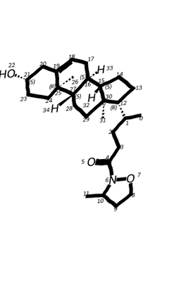 CC(CCC(=O)N1OCCC1C)[C@H]1CC[C@H]2[C@@H]3CC=C4C[C@@H](O)CC[C@]4(C)[C@H]3CC[C@]12C